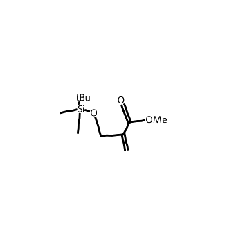 C=C(CO[Si](C)(C)C(C)(C)C)C(=O)OC